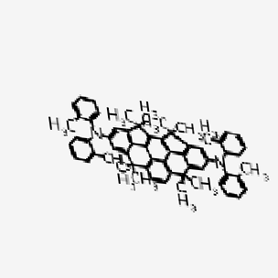 Cc1ccccc1N(c1cc2c3c(c1)C(C)(C)c1ccc4c5c6c(c(c-3c15)C2(C)C)C(C)(C)c1cc(N(c2ccccc2C)c2ccccc2C)cc(c1-6)C4(C)C)c1ccccc1C